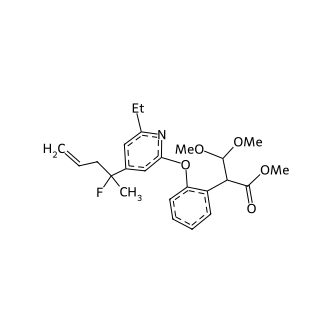 C=CCC(C)(F)c1cc(CC)nc(Oc2ccccc2C(C(=O)OC)C(OC)OC)c1